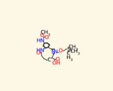 COC(=O)Nc1ccc2c(c1)NC(=O)CCCCC(C(=O)O)c1nc-2cn1COCC[Si](C)(C)C